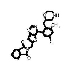 Cc1cc(Cl)cc(-c2ncnc3cc(CN4C(=O)c5ccccc5C4=O)sc23)c1CC1CNCCO1